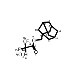 O=C(OCC12CC3CC(CC(C3)C1)C2)C(F)(C(F)(F)F)S(=O)(=O)O